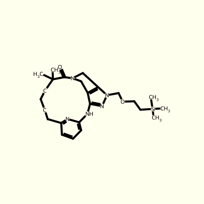 CC1(C)CCCCc2cccc(n2)Nc2nn(COCC[Si](C)(C)C)c3c2CN(C3)C1=O